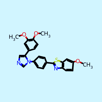 COc1ccc2nc(-c3ccc(-n4cncc4-c4ccc(OC)c(OC)c4)cc3)sc2c1